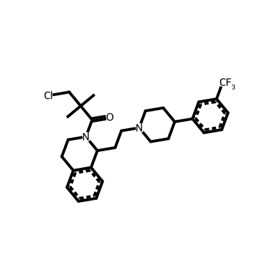 CC(C)(CCl)C(=O)N1CCc2ccccc2C1CCN1CCC(c2cccc(C(F)(F)F)c2)CC1